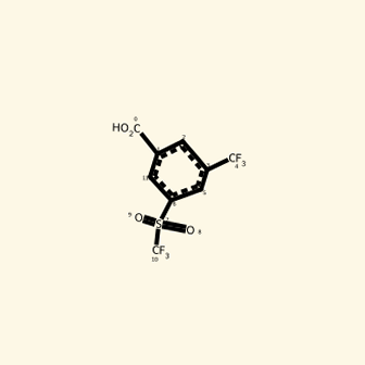 O=C(O)c1cc(C(F)(F)F)cc(S(=O)(=O)C(F)(F)F)c1